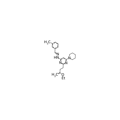 C=C(CCc1nc(N/N=C/c2cccc(C)c2)cc(N2CCCCC2)n1)OCC